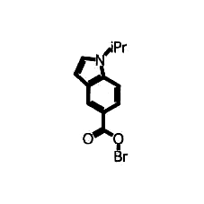 CC(C)n1ccc2cc(C(=O)OBr)ccc21